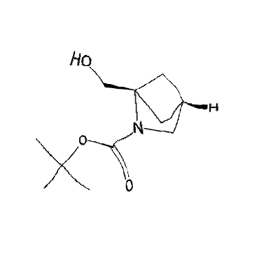 CC(C)(C)OC(=O)N1C[C@H]2C[C@]1(CO)C2